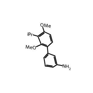 COc1ccc(-c2cccc(N)c2)c(OC)c1C(C)C